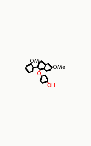 COc1ccc2c(Oc3ccc(O)cc3)c(-c3ccccc3OC)ccc2c1